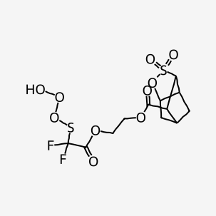 O=C(OCCOC(=O)C(F)(F)SOOO)C1C2CC3OS(=O)(=O)C1C3C2